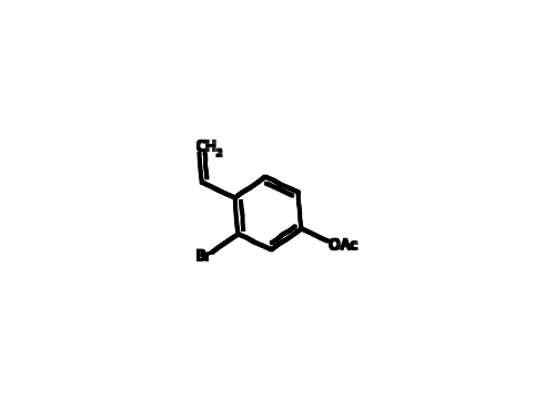 C=Cc1ccc(OC(C)=O)cc1Br